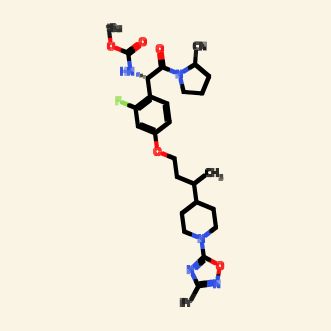 CC(C)c1noc(N2CCC(C(C)CCOc3ccc([C@H](NC(=O)OC(C)(C)C)C(=O)N4CCCC4C#N)c(F)c3)CC2)n1